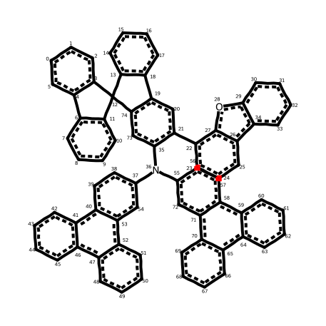 c1ccc2c(c1)-c1ccccc1C21c2ccccc2-c2cc(-c3cccc4c3oc3ccccc34)c(N(c3ccc4c5ccccc5c5ccccc5c4c3)c3ccc4c5ccccc5c5ccccc5c4c3)cc21